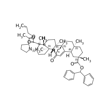 C=CCOC(=O)[C@]1(C)[C@@H](N2CCCC2C(C)=O)CC[C@@]2(C)[C@H]1CC[C@]1(C)[C@@H]2C(=O)C=C2[C@@H]3C[C@@](C)(C(=O)OC(c4ccccc4)c4ccccc4)CC[C@]3(C)CC[C@]21C